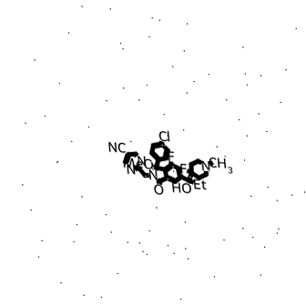 CCC(O)(c1cc(F)c2c(c1)C(=O)N(Cc1ncc(C#N)cn1)[C@@]2(OC)c1ccc(Cl)cc1)C1(F)CCN(C)CC1